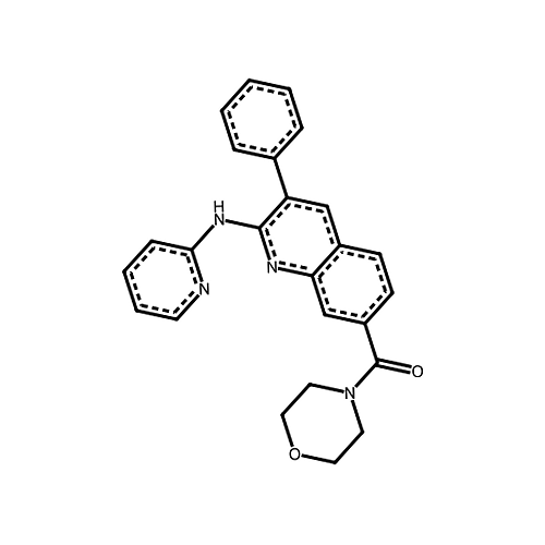 O=C(c1ccc2cc(-c3ccccc3)c(Nc3ccccn3)nc2c1)N1CCOCC1